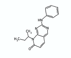 CCC(C)n1c(=O)ccc2cnc(Nc3ccccc3)nc21